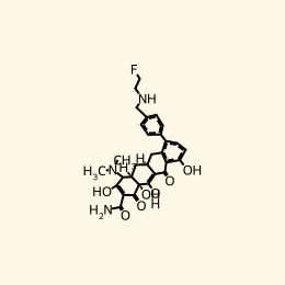 CN(C)C1C(O)=C(C(N)=O)C(=O)[C@@]2(O)C(O)=C3C(=O)c4c(O)ccc(-c5ccc(CNCCF)cc5)c4C[C@@H]3C[C@@H]12